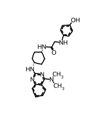 CN(C)c1nc(N[C@H]2CC[C@@H](NC(=O)CNc3ccc(O)cc3)CC2)nc2ccccc12